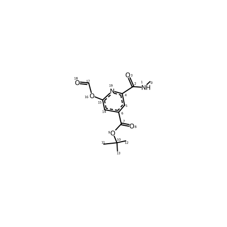 CNC(=O)c1cc(C(=O)OC(C)(C)C)cc(OC=O)n1